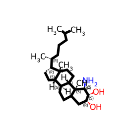 CC(C)CCC[C@@H](C)[C@H]1CC[C@H]2[C@@H]3CCC4C[C@@H](O)[C@@H](O)[C@H](N)[C@]4(C)[C@H]3CC[C@]12C